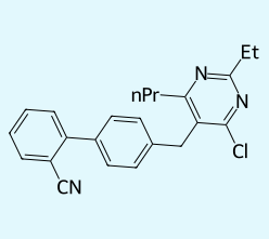 CCCc1nc(CC)nc(Cl)c1Cc1ccc(-c2ccccc2C#N)cc1